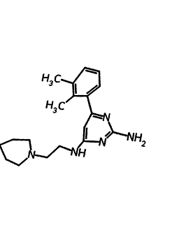 Cc1cccc(-c2cc(NCCN3CCCCC3)nc(N)n2)c1C